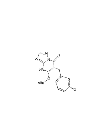 CCCCOc1[nH]c2ncnn2c(=O)c1Cc1cccc(Cl)c1